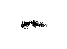 CCc1ccccc1-c1cc2ccc(OCCC(F)(F)C(F)(F)C(F)(F)C(F)(F)CCOC(=O)C(C)C)cc2oc1=O